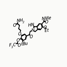 CCOc1cc2c(cc1C(=O)NC)C(=N)N(CC(=O)c1cc(OCCCC(N)=O)c(OC(=O)C(F)(F)F)c(C(C)(C)C)c1)C2